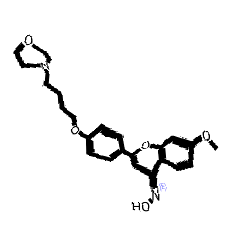 COc1ccc2/c(=N/O)cc(-c3ccc(OCCCCN4CCOCC4)cc3)oc2c1